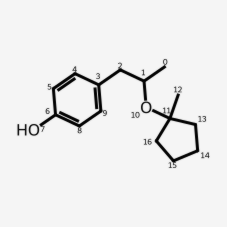 CC(Cc1ccc(O)cc1)OC1(C)CCCC1